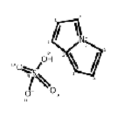 C1=CC2=CC=C[N+]2=C1.O=S(=O)([O-])O